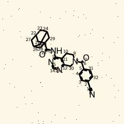 N#Cc1ccc(C(=O)N2CCc3c(ncnc3NC(=O)C34CC5CC(CC(C5)C3)C4)C2)cc1